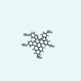 CC(C)(C)c1ccc(N2c3c(sc4ccc(C(C)(C)C)cc34)B3c4c(c5ccc6cc(C(C)(C)C)cc7ccc(c42)c5c67)-c2cc(C(C)(C)C)cc4c5cc(C(C)(C)C)ccc5n3c24)cc1